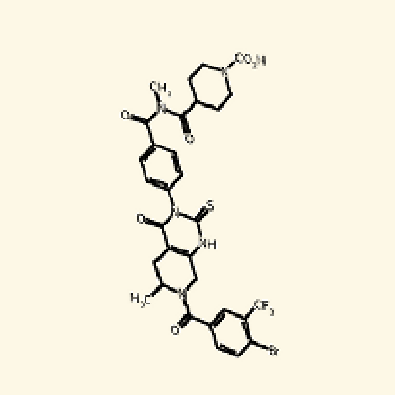 CC1Cc2c([nH]c(=S)n(-c3ccc(C(=O)N(C)C(=O)C4CCN(C(=O)O)CC4)cc3)c2=O)CN1C(=O)c1ccc(Br)c(C(F)(F)F)c1